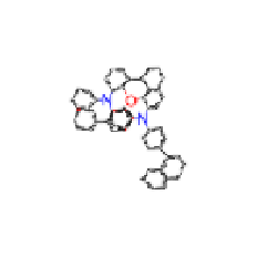 c1ccc(-c2ccc(N(c3ccc(-c4cccc5ccccc45)cc3)c3ccc4cccc5c4c3Oc3c-5cccc3N(c3ccccc3)c3ccccc3)cc2)cc1